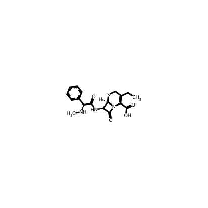 CCC1=C(C(=O)O)N2C(=O)[C@@H](NC(=O)[C@@H](NC)c3ccccc3)[C@H]2SC1